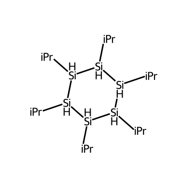 CC(C)[SiH]1[SiH](C(C)C)[SiH](C(C)C)[SiH](C(C)C)[SiH](C(C)C)[SiH]1C(C)C